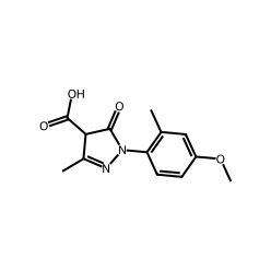 COc1ccc(N2N=C(C)C(C(=O)O)C2=O)c(C)c1